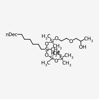 CCCCCCCCCCCCCCCC[Si](C)(O[Si](C)(C)OCCOCC(C)O)O[Si](C)(C)O[Si](C)(C)C